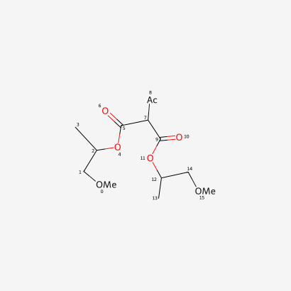 COCC(C)OC(=O)C(C(C)=O)C(=O)OC(C)COC